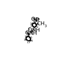 Cc1cc(NC(=O)NC(=O)c2ccccc2)ccc1[N+](=O)[O-]